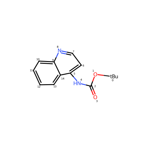 CC(C)(C)OC(=O)Nc1ccnc2ccccc12